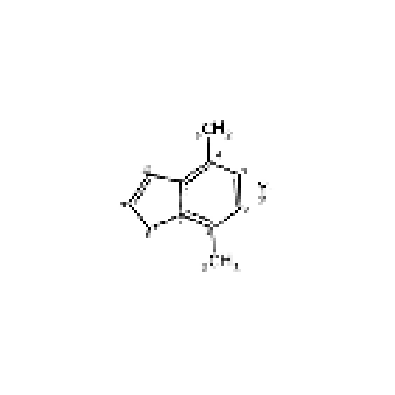 Cc1ccc(C)c2c1[CH]C=C2.[Y]